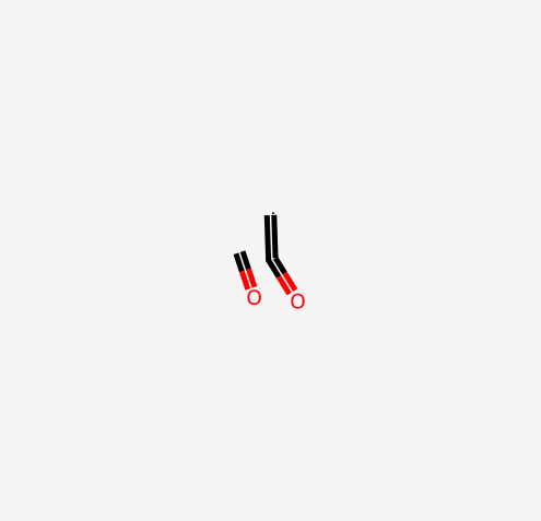 C=O.[C]=C=O